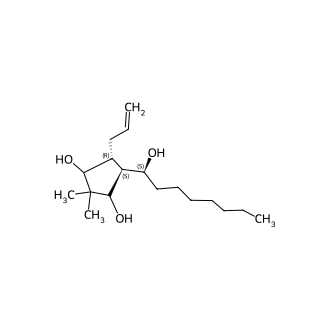 C=CC[C@H]1C(O)C(C)(C)C(O)[C@@H]1[C@@H](O)CCCCCCC